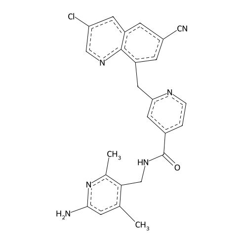 Cc1cc(N)nc(C)c1CNC(=O)c1ccnc(Cc2cc(C#N)cc3cc(Cl)cnc23)c1